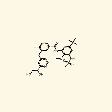 COc1c(NC(=O)c2ccc(C)c(Oc3cc(C(O)CO)ncn3)c2)cc(C(C)(C)C)cc1NS(C)(=O)=O